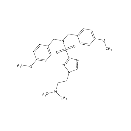 COc1ccc(CN(Cc2ccc(OC)cc2)S(=O)(=O)c2ncn(CCN(C)C)n2)cc1